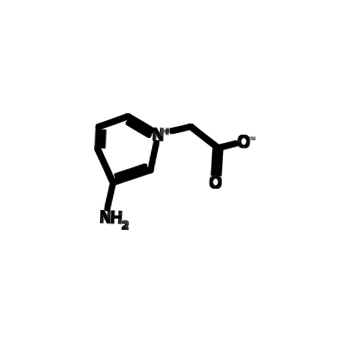 Nc1ccc[n+](CC(=O)[O-])c1